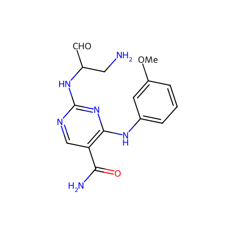 COc1cccc(Nc2nc(NC(C=O)CN)ncc2C(N)=O)c1